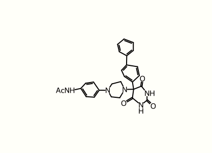 CC(=O)Nc1ccc(N2CCN(C3(c4ccc(-c5ccccc5)cc4)C(=O)NC(=O)NC3=O)CC2)cc1